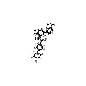 CNc1cncc(-c2c[nH]c(=O)c(NC(=O)c3ccc(N4CCN(C)CC4)cc3)c2)n1